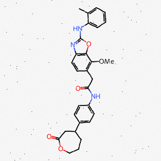 COc1c(CC(=O)Nc2ccc(C3CCCOC(=O)C3)cc2)ccc2nc(Nc3ccccc3C)oc12